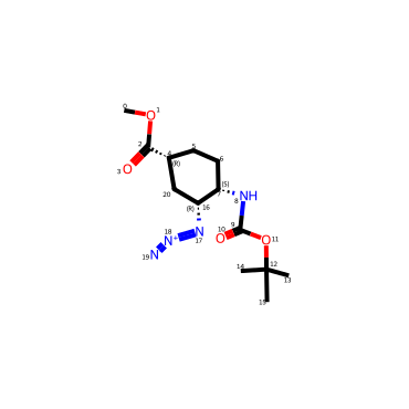 COC(=O)[C@@H]1CC[C@H](NC(=O)OC(C)(C)C)[C@H](N=[N+]=[N-])C1